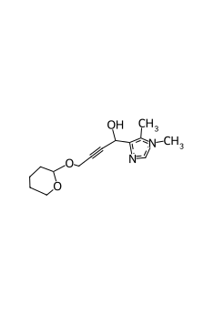 Cc1c(C(O)C#CCOC2CCCCO2)ncn1C